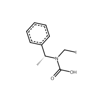 C[C@H](c1ccccc1)N(CI)C(=O)O